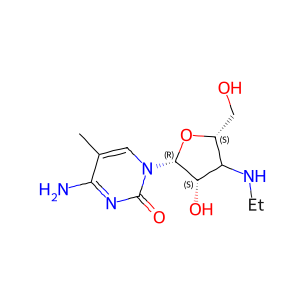 CCNC1[C@@H](CO)O[C@@H](n2cc(C)c(N)nc2=O)[C@H]1O